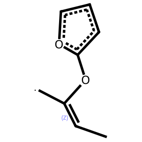 [CH2]/C(=C/C)Oc1ccco1